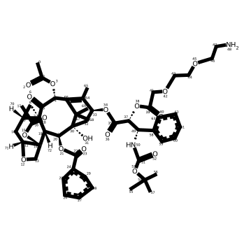 CC(=O)O[C@H]1C(=O)[C@]23C[C@H]2C[C@H]2OC[C@@]2(OC(C)=O)[C@H]3[C@H](OC(=O)c2ccccc2)[C@]2(O)C[C@H](OC(=O)[C@H](OC(=O)COCCOCCN)[C@@H](NC(=O)OC(C)(C)C)c3ccccc3)C(C)=C1C2(C)C